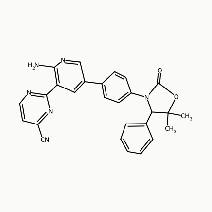 CC1(C)OC(=O)N(c2ccc(-c3cnc(N)c(-c4nccc(C#N)n4)c3)cc2)C1c1ccccc1